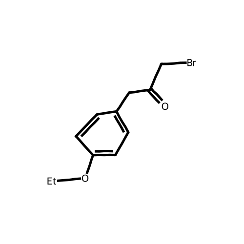 CCOc1ccc(CC(=O)CBr)cc1